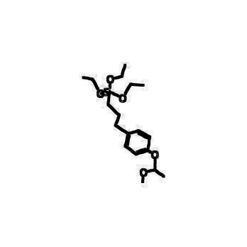 CCO[Si](CCCc1ccc(OC(C)OC)cc1)(OCC)OCC